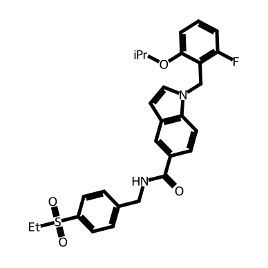 CCS(=O)(=O)c1ccc(CNC(=O)c2ccc3c(ccn3Cc3c(F)cccc3OC(C)C)c2)cc1